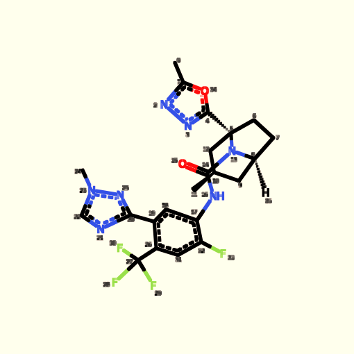 Cc1nnc([C@@]23CC[C@@H](C[C@@H](C)C2)N3C(=O)Nc2cc(-c3ncn(C)n3)c(C(F)(F)F)cc2F)o1